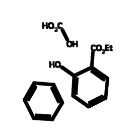 CCOC(=O)c1ccccc1O.O=C(O)O.c1ccccc1